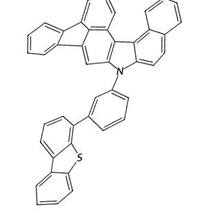 c1cc(-c2cccc3c2sc2ccccc23)cc(-n2c3ccc4ccccc4c3c3c4cccc5c4c(cc32)-c2ccccc2-5)c1